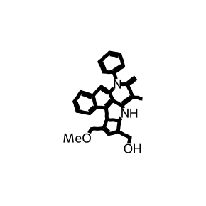 C=C1C(C)=C2NC3C(CO)C=C(COC)C3c3c2c(cc2ccccc32)N1c1ccccc1